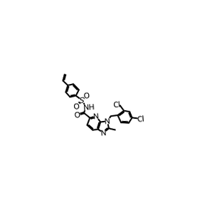 C=Cc1ccc(S(=O)(=O)NC(=O)c2ccc3nc(C)n(Cc4ccc(Cl)cc4Cl)c3n2)cc1